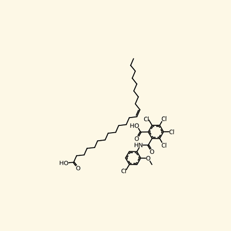 CCCCCCCC/C=C\CCCCCCCCCCCC(=O)O.COc1cc(Cl)ccc1NC(=O)c1c(Cl)c(Cl)c(Cl)c(Cl)c1C(=O)O